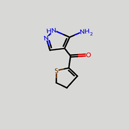 Nc1[nH]ncc1C(=O)C1=CCCS1